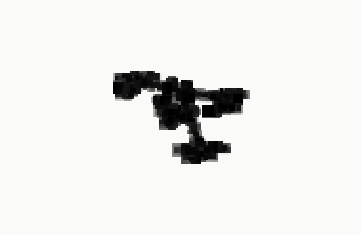 CC(=O)NC1C(OCCCCCCNC(=O)CCC(NC(=O)CCC(NC(=O)C(CO)NC(=O)C2CCC(CO)CC2)C(=O)NCCCCCCOC2OC(CO)C(O)C(O)C2NC(C)=O)C(=O)NCCCCCCOC2OC(CO)C(O)C(O)C2NC(C)=O)OC(CO)C(O)C1O